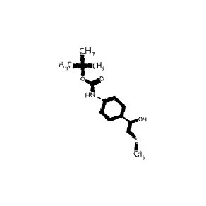 CSCC(O)[C@H]1CC[C@H](NC(=O)OC(C)(C)C)CC1